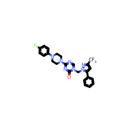 O=c1nc(N2CCN(c3ccc(F)cc3)CC2)ncn1Cn1nc(C(F)(F)F)cc1-c1ccccc1